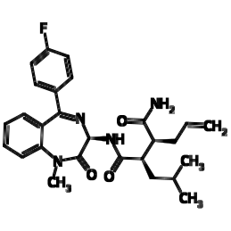 C=CC[C@H](C(N)=O)[C@@H](CC(C)C)C(=O)N[C@@H]1N=C(c2ccc(F)cc2)c2ccccc2N(C)C1=O